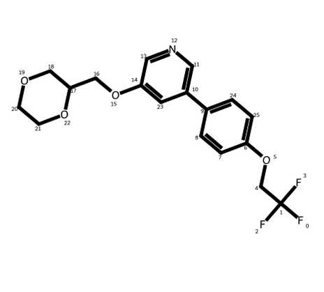 FC(F)(F)COc1ccc(-c2cncc(OCC3COCCO3)c2)cc1